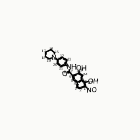 O=Nc1ccc2cc(C(=O)Nc3ccc(N4CCCCC4)cc3)c(O)cc2c1O